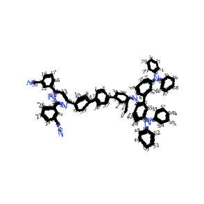 Cc1cc(-c2ccc(-c3ccc(-c4cc(-c5cccc(C#N)c5)nc(-c5cccc(C#N)c5)n4)cc3)cc2)ccc1-n1c2ccc(N(c3ccccc3)c3ccccc3)cc2c2cc(N(c3ccccc3)c3ccccc3)ccc21